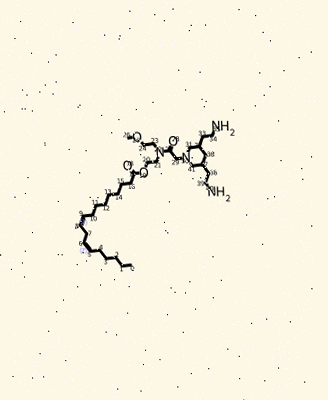 CCCCC/C=C\C/C=C\CCCCCCCC(=O)OCCN(CCOC)C(=O)CN1CC(CCN)CC(CCN)C1